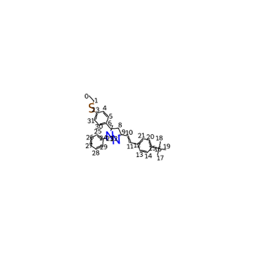 CCSc1ccc(C2CC(C=Cc3ccc(C(C)(C)C)cc3)=NN2c2ccccc2)cc1